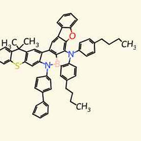 CCCCc1ccc(N2c3ccc(CCCC)cc3B3c4c(cc5c(oc6ccccc65)c42)-c2cc4c(cc2N3c2ccc(-c3ccccc3)cc2)Sc2ccccc2C4(C)C)cc1